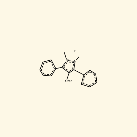 COc1c(-c2ccccc2)n(C)[n+](C)c1-c1ccccc1.[I-]